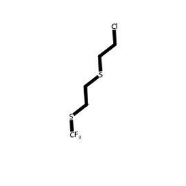 FC(F)(F)S[CH]CSCCCl